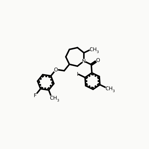 Cc1ccc(I)c(C(=O)N2CC(COc3ccc(F)c(C)c3)CCCC2C)c1